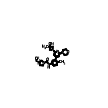 Cc1ccc(NC(=O)N2CC[C@@H](CC(F)(F)F)C2)cc1-c1cc(N2CCOCC2)nc(N2CC(C)(O)C2)c1